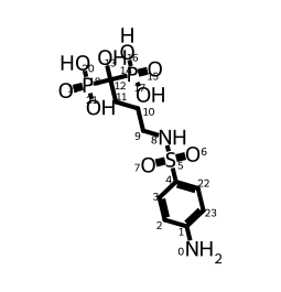 Nc1ccc(S(=O)(=O)NCCCC(O)(P(=O)(O)O)P(=O)(O)O)cc1